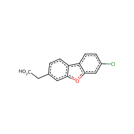 O=C(O)Cc1ccc2c(c1)oc1cc(Cl)ccc12